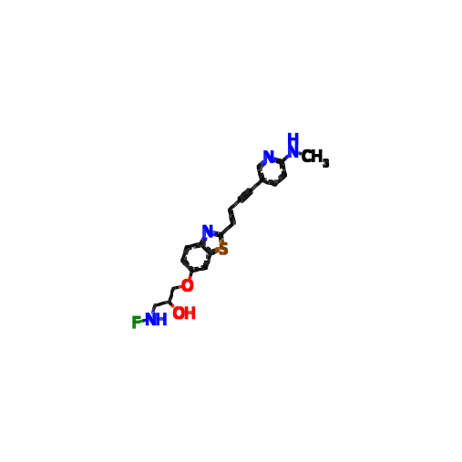 CNc1ccc(C#C/C=C/c2nc3ccc(OCC(O)CNF)cc3s2)cn1